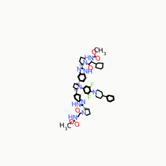 COC(=O)NCC(=O)N1CCC[C@H]1c1nc2cc([C@H]3CC[C@H](c4ccc5[nH]c([C@@H]6CCCN6C(=O)C(NC(=O)OC)C6CCCCC6)nc5c4)N3c3cc(F)c(N4CCC(c5ccccc5)CC4)c(F)c3)ccc2[nH]1